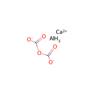 O=C([O-])OC(=O)[O-].[AlH3].[Ca+2]